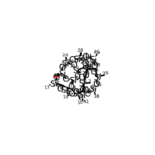 C[Si]12O[Si]3(C)O[Si]4(C)O[Si]5(C)O[Si](C)(O1)O[Si]1(C)O[Si](C)(O2)O[Si](C)(O3)O[Si]2(C)O[Si](C)(O4)O[Si]3(C)O[Si](C)(O5)O[Si](C)(O1)[SiH2][Si](C)(O2)O3